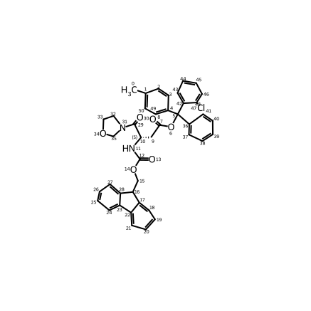 Cc1ccc(C(OC(=O)C[C@H](NC(=O)OCC2c3ccccc3-c3ccccc32)C(=O)N2CCOC2)(c2ccccc2)c2ccccc2Cl)cc1